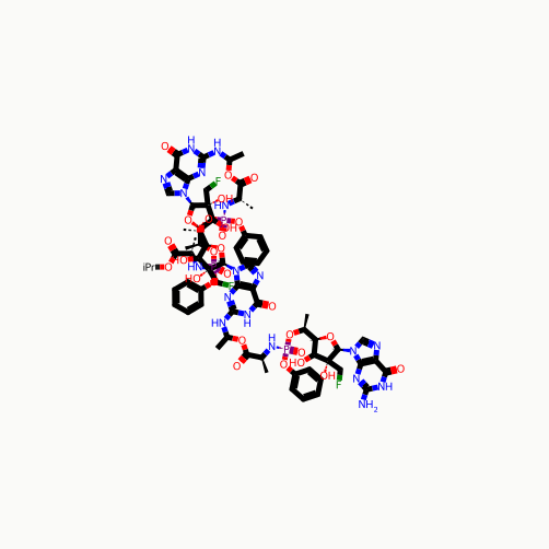 CC(C)OC(=O)[C@H](C)NP(=O)(Oc1ccccc1)O[C@@H](C)[C@H]1O[C@@H](n2cnc3c(=O)[nH]c(NC(C)OC(=O)[C@H](C)N[P@@](=O)(Oc4ccccc4)O[C@@H](C)[C@H]4O[C@@H](n5cnc6c(=O)[nH]c(NC(C)OC(=O)[C@H](C)N[P@](=O)(Oc7ccccc7)O[C@@H](C)[C@H]7O[C@@H](n8cnc9c(=O)[nH]c(N)nc98)[C@@](O)(CF)C7O)nc65)[C@@](O)(CF)C4O)nc32)[C@@](O)(CF)C1O